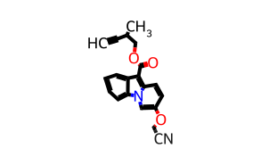 C#CC(C)COC(=O)c1c2ccccc2n2cc(OCC#N)ccc12